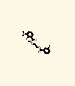 CN(N=CCOC(=O)c1cccc(F)c1)C(=O)c1cccc(N(C)C)c1F